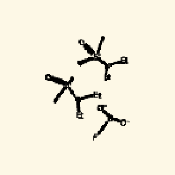 CCN(CC)[S+](C)(C)=O.CCN(CC)[S+](C)(C)=O.[O-]B([O-])F